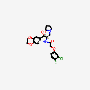 O=C(COc1ccc(Cl)c(Cl)c1)N[C@H](CN1CCCC1)[C@H](O)c1ccc2c(c1)OCCO2